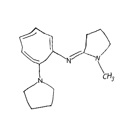 CN1CCCC1=Nc1ccccc1N1CCCC1